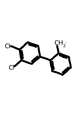 [CH2]c1ccccc1-c1ccc(Cl)c(Cl)c1